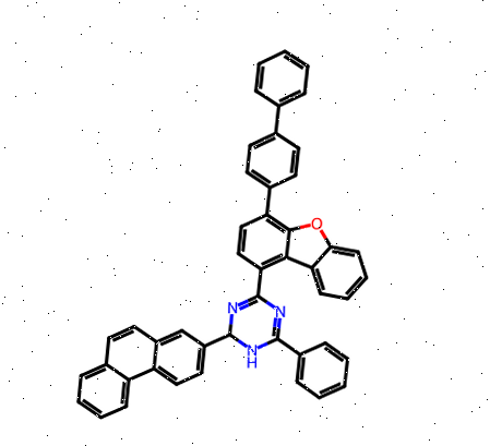 c1ccc(C2=NC(c3ccc(-c4ccc(-c5ccccc5)cc4)c4oc5ccccc5c34)=NC(c3ccc4c(ccc5ccccc54)c3)N2)cc1